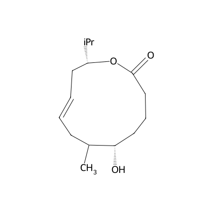 CC1C/C=C/C[C@H](C(C)C)OC(=O)CCC[C@@H]1O